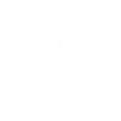 C=Cc1cc(F)c([N+](=O)[O-])cc1OC